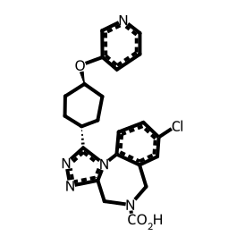 O=C(O)N1Cc2cc(Cl)ccc2-n2c(nnc2[C@H]2CC[C@H](Oc3cccnc3)CC2)C1